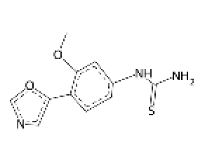 COc1cc(NC(N)=S)ccc1-c1cnco1